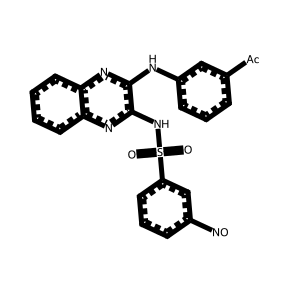 CC(=O)c1cccc(Nc2nc3ccccc3nc2NS(=O)(=O)c2cccc(N=O)c2)c1